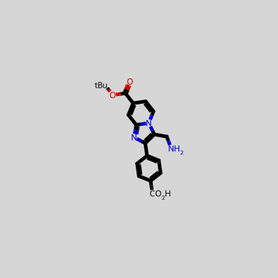 CC(C)(C)OC(=O)c1ccn2c(CN)c(-c3ccc(C(=O)O)cc3)nc2c1